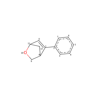 C1=C(c2ccccc2)C2COC1C2